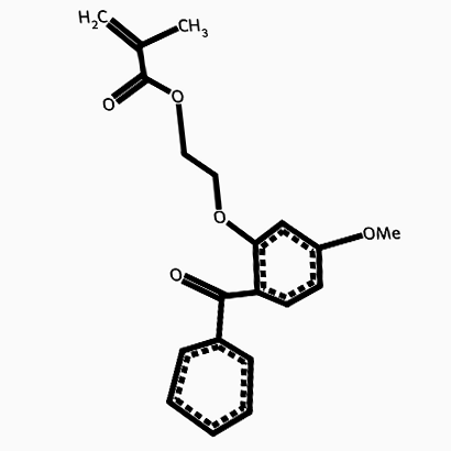 C=C(C)C(=O)OCCOc1cc(OC)ccc1C(=O)c1ccccc1